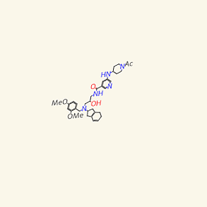 COc1ccc(CN(CC(O)CNC(=O)c2cncc(NC3CCN(C(C)=O)CC3)c2)C2CC3=C(CCC=C3)C2)c(OC)c1